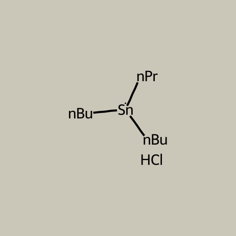 CCC[CH2][Sn]([CH2]CC)[CH2]CCC.Cl